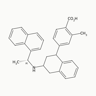 Cc1cc(C2CC(N[C@H](C)c3cccc4ccccc34)Cc3ccccc32)ccc1C(=O)O